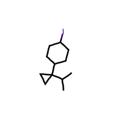 CC(C)C1(C2CCC(I)CC2)CC1